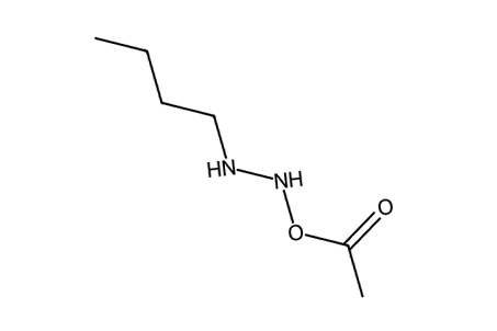 CCCCNNOC(C)=O